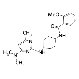 COc1ccccc1C(=O)NC1CCC(Nc2nc(C)cc(N(C)C)n2)CC1